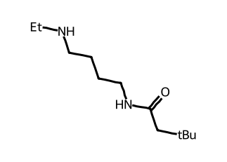 CCNCCCCNC(=O)CC(C)(C)C